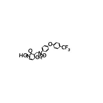 CS(=O)(=O)N(Cc1cccn(O)c1=O)c1ccc(Oc2ccc(C(F)(F)F)cc2)cc1